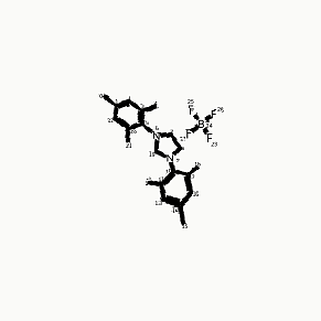 Cc1cc(C)c(N2CCN(c3c(C)cc(C)cc3C)C2)c(C)c1.F[B-](F)(F)F